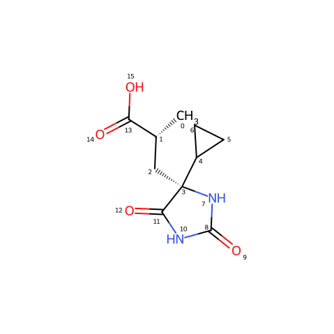 C[C@H](C[C@]1(C2CC2)NC(=O)NC1=O)C(=O)O